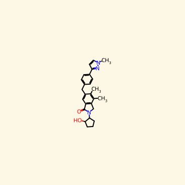 Cc1c(Cc2ccc(-c3ccn(C)n3)cc2)cc2c(c1C)CN(C1CCCC1O)C2=O